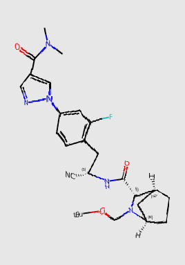 CN(C)C(=O)c1cnn(-c2ccc(C[C@@H](C#N)NC(=O)[C@@H]3[C@H]4CC[C@H](C4)N3COC(C)(C)C)c(F)c2)c1